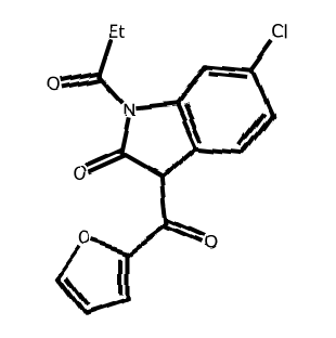 CCC(=O)N1C(=O)C(C(=O)c2ccco2)c2ccc(Cl)cc21